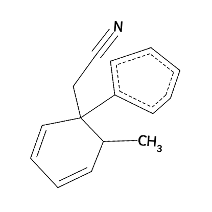 CC1C=CC=CC1(CC#N)c1ccccc1